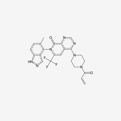 C=CC(=O)N1CCN(c2ncnc3c(=O)n(-c4c(C)ccc5[nH]ncc45)c(C(F)(F)F)cc23)CC1